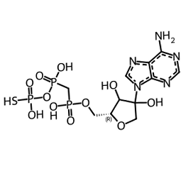 Nc1ncnc2c1ncn2C1(O)CO[C@H](COP(=O)(O)CP(=O)(O)OP(=O)(O)S)C1O